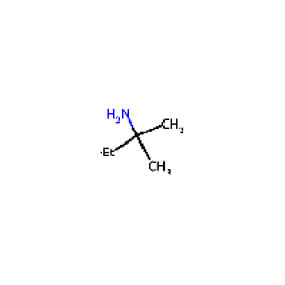 C[CH]C(C)(C)N